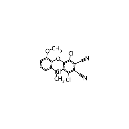 COc1cccc(OC)c1Oc1c(Cl)c(Cl)c(C#N)c(C#N)c1Cl